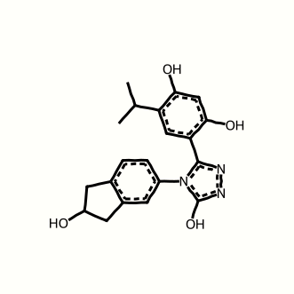 CC(C)c1cc(-c2nnc(O)n2-c2ccc3c(c2)CC(O)C3)c(O)cc1O